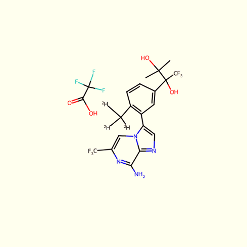 O=C(O)C(F)(F)F.[2H]C([2H])([2H])c1ccc(C(O)(C(C)(C)O)C(F)(F)F)cc1-c1cnc2c(N)nc(C(F)(F)F)cn12